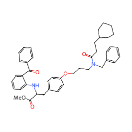 COC(=O)[C@H](Cc1ccc(OCCCN(Cc2ccccc2)C(=O)CCC2CCCCC2)cc1)Nc1ccccc1C(=O)c1ccccc1